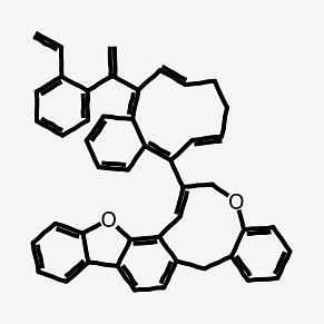 C=Cc1ccccc1C(=C)C1=c2/cccc/c2=C(\C2=C/c3c(ccc4c3oc3ccccc34)Cc3ccccc3OC2)/C=C/CC/C=C/1